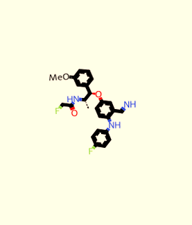 COc1cccc([C@@H](Oc2ccc(Nc3ccc(F)cc3)c(C=N)c2)[C@H](C)NC(=O)CF)c1